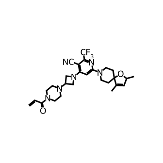 C=CC(=O)N1CCN(C2CN(c3cc(N4CCC5(CC4)OC(C)C=C5C)nc(C(F)(F)F)c3C#N)C2)CC1